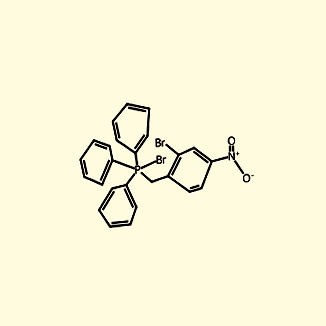 O=[N+]([O-])c1ccc(CP(Br)(c2ccccc2)(c2ccccc2)c2ccccc2)c(Br)c1